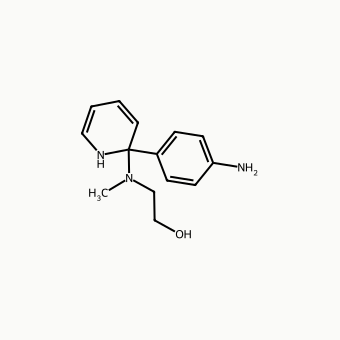 CN(CCO)C1(c2ccc(N)cc2)C=CC=CN1